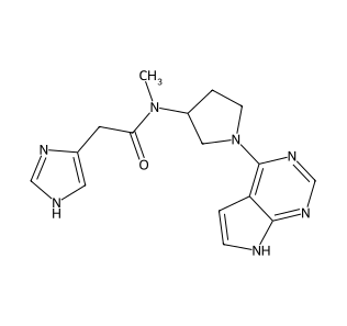 CN(C(=O)Cc1c[nH]cn1)C1CCN(c2ncnc3[nH]ccc23)C1